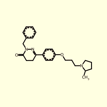 CC1CCCN1CCCOc1ccc(C2=NN(Cc3ccccc3)C(=O)CC2)cc1